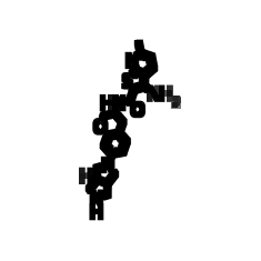 Cc1ccc2c(N)c(C(=O)N[C@@H]3COc4cc(N5CC6CNC[C@@H]6C5)ccc4C3)sc2n1